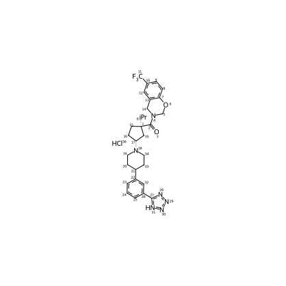 CC(C)[C@@]1(C(=O)N2COc3ccc(C(F)(F)F)cc3C2)CC[C@@H](N2CCC(c3cccc(-c4nnn[nH]4)c3)CC2)C1.Cl